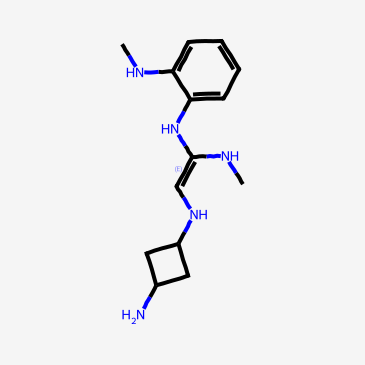 CN/C(=C\NC1CC(N)C1)Nc1ccccc1NC